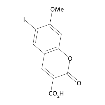 COc1cc2oc(=O)c(C(=O)O)cc2cc1I